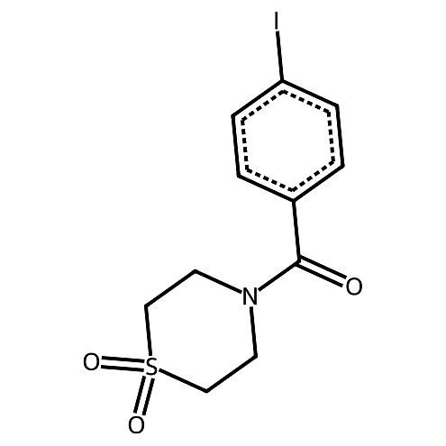 O=C(c1ccc(I)cc1)N1CCS(=O)(=O)CC1